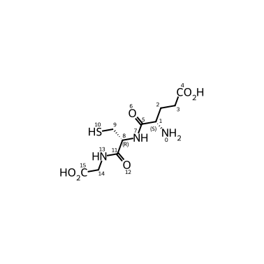 N[C@@H](CCC(=O)O)C(=O)N[C@@H](CS)C(=O)NCC(=O)O